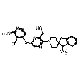 Nc1nccc(Sc2cnc(N3CCC4(CC3)Cc3ccccc3[C@H]4N)c(CO)n2)c1Cl